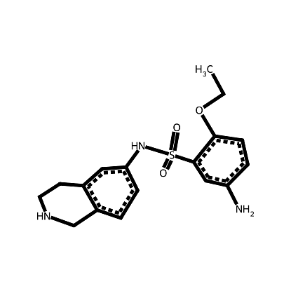 CCOc1ccc(N)cc1S(=O)(=O)Nc1ccc2c(c1)CCNC2